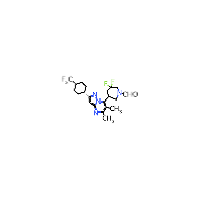 Cc1nc2cc([C@H]3CC[C@H](C(F)(F)F)CC3)nn2c(C2CN(C=O)CC(F)(F)C2)c1C